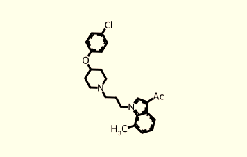 CC(=O)c1cn(CCCN2CCC(Oc3ccc(Cl)cc3)CC2)c2c(C)cccc12